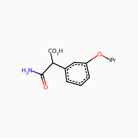 CC(C)Oc1cccc(C(C(N)=O)C(=O)O)c1